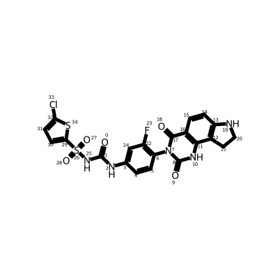 O=C(Nc1ccc(-n2c(=O)[nH]c3c4c(ccc3c2=O)NCC4)c(F)c1)NS(=O)(=O)c1ccc(Cl)s1